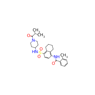 Cc1ccccc1C(=O)Nc1ccc(S(=O)(=O)NC2CCN(C(=O)C(C)C)CC2)c2c1CCCC2